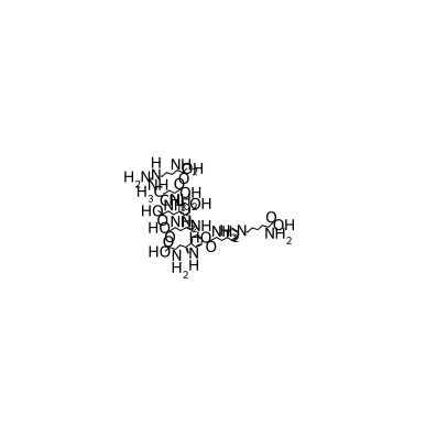 CC(C)CC(N)C(=O)O.N=C(N)NCCCC(N)C(=O)O.NC(Cc1c[nH]c2ccccc12)C(=O)O.NC(Cc1c[nH]cn1)C(=O)O.NC(Cc1ccc(O)cc1)C(=O)O.NC(Cc1ccccc1)C(=O)O.NCCCCC(N)C(=O)O